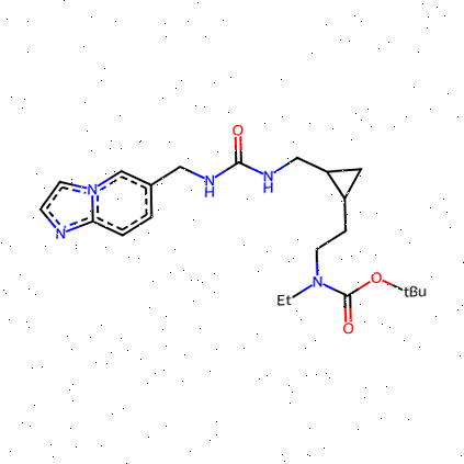 CCN(CCC1CC1CNC(=O)NCc1ccc2nccn2c1)C(=O)OC(C)(C)C